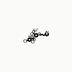 O=C(Nc1ccc(OCCCc2cccnc2)cc1C(=O)[O-])c1ccc(Cl)cc1Cl.[Li+]